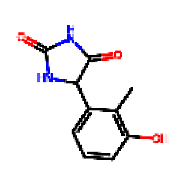 Cc1c(O)cccc1C1NC(=O)NC1=O